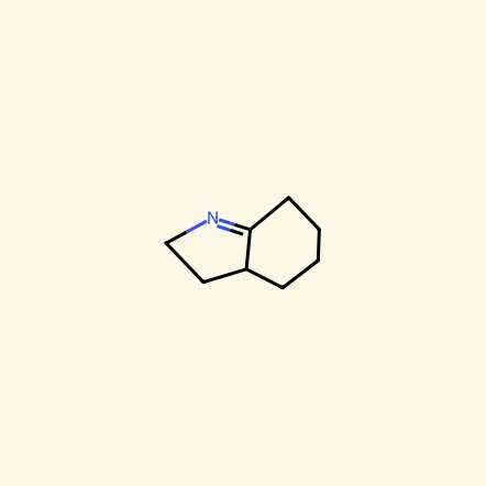 C1CCC2CCN=C2C1